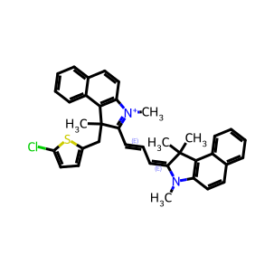 CN1/C(=C/C=C/C2=[N+](C)c3ccc4ccccc4c3C2(C)Cc2ccc(Cl)s2)C(C)(C)c2c1ccc1ccccc21